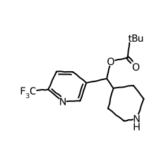 CC(C)(C)C(=O)OC(c1ccc(C(F)(F)F)nc1)C1CCNCC1